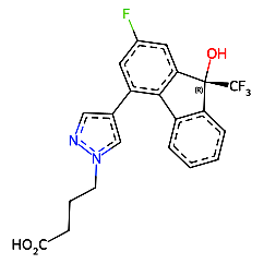 O=C(O)CCCn1cc(-c2cc(F)cc3c2-c2ccccc2[C@]3(O)C(F)(F)F)cn1